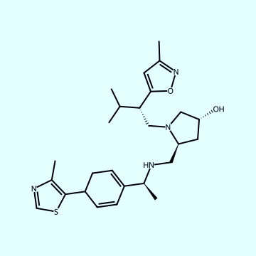 Cc1cc([C@H](CN2C[C@H](O)C[C@H]2CN[C@@H](C)C2=CCC(c3scnc3C)C=C2)C(C)C)on1